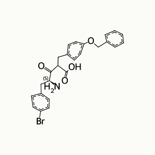 N[C@@H](Cc1ccc(Br)cc1)C(=O)C(Cc1ccc(OCc2ccccc2)cc1)C(=O)O